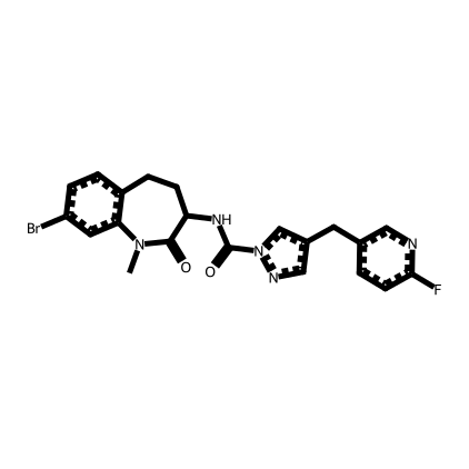 CN1C(=O)C(NC(=O)n2cc(Cc3ccc(F)nc3)cn2)CCc2ccc(Br)cc21